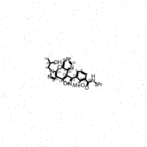 COc1c(C(=O)NC(C)C)cccc1-c1noc(-c2cnn(CC(C)O)c2C(F)(F)F)c1-c1ccncn1